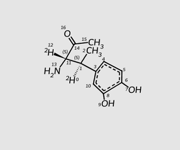 [2H][C@](C)(c1ccc(O)c(O)c1)[C@]([2H])(N)C(C)=O